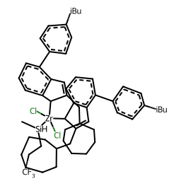 CCC(C)c1ccc(-c2cccc3c2C=C(CC2CCCCCC2)[CH]3[Zr]([Cl])([Cl])([CH]2C(CC3CCCCCC3)=Cc3c(-c4ccc(C(C)CC)cc4)cccc32)[SiH](C)CCC(F)(F)F)cc1